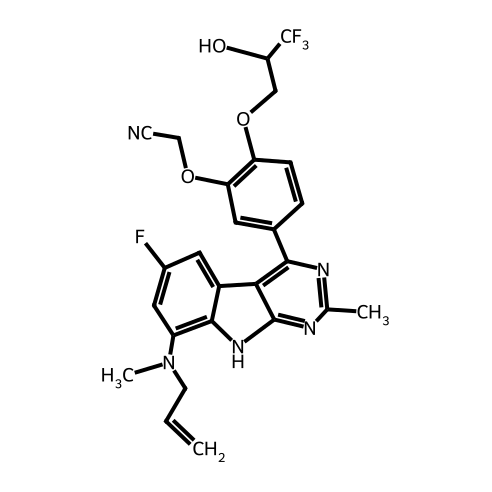 C=CCN(C)c1cc(F)cc2c1[nH]c1nc(C)nc(-c3ccc(OCC(O)C(F)(F)F)c(OCC#N)c3)c12